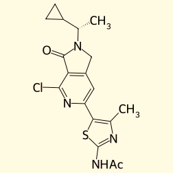 CC(=O)Nc1nc(C)c(-c2cc3c(c(Cl)n2)C(=O)N([C@@H](C)C2CC2)C3)s1